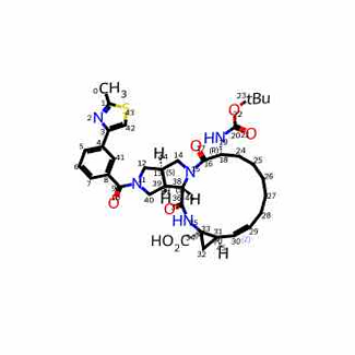 Cc1nc(-c2cccc(C(=O)N3C[C@H]4CN5C(=O)[C@H](NC(=O)OC(C)(C)C)CCCCC/C=C\[C@H]6C[C@@]6(C(=O)O)NC(=O)[C@@H]5[C@H]4C3)c2)cs1